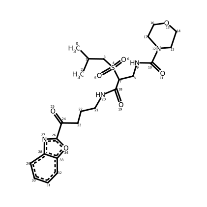 CC(C)CS(=O)(=O)C(CNC(=O)N1CCOCC1)C(=O)NCCCC(=O)c1nc2ccccc2o1